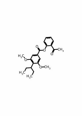 CCC(CC)c1c(OC)cc(C(=O)Oc2ccccc2C(C)=O)cc1OC